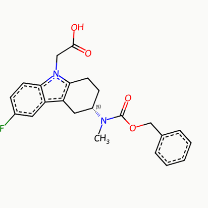 CN(C(=O)OCc1ccccc1)[C@H]1CCc2c(c3cc(F)ccc3n2CC(=O)O)C1